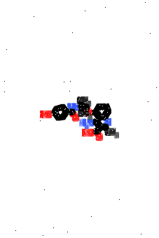 Cc1nc2cccc(OCC(C)(C)NC(=O)[C@H]3CC[C@@H](O)CC3)c2c(N)c1C(=O)O